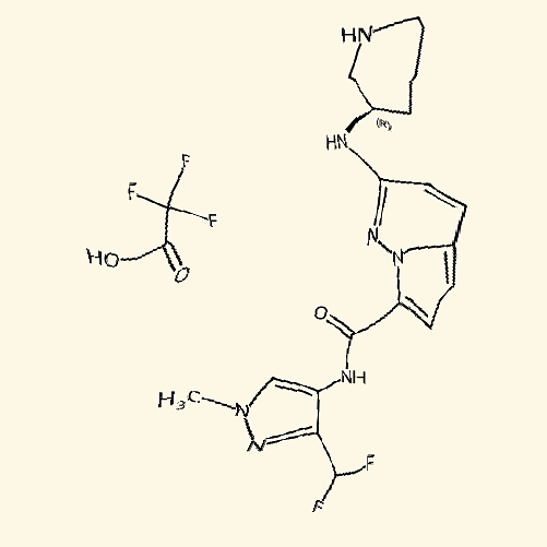 Cn1cc(NC(=O)c2ccc3ccc(N[C@@H]4CCCNC4)nn23)c(C(F)F)n1.O=C(O)C(F)(F)F